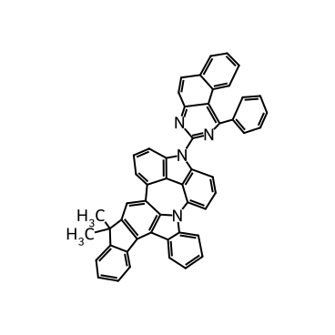 CC1(C)c2ccccc2-c2c1cc1c3cccc4c3c3c(cccc3n3c5ccccc5c2c13)n4-c1nc(-c2ccccc2)c2c(ccc3ccccc32)n1